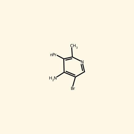 CCCc1c(C)ncc(Br)c1N